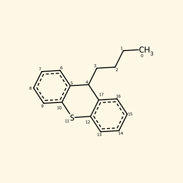 CCCCC1c2ccccc2Sc2ccccc21